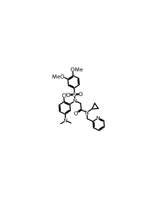 COc1ccc(S(=O)(=O)N(CC(=O)N(Cc2ccccn2)C2CC2)c2cc(N(C)C)ccc2Cl)cc1OC